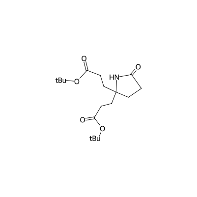 CC(C)(C)OC(=O)CCC1(CCC(=O)OC(C)(C)C)CCC(=O)N1